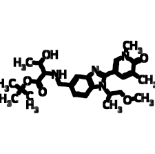 COCC(C)n1c(-c2cc(C)c(=O)n(C)c2)nc2cc(CNC(C(=O)OC(C)(C)C)C(C)O)ccc21